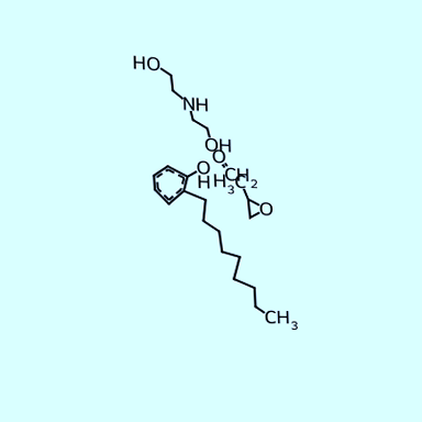 C=O.CC1CO1.CCCCCCCCCc1ccccc1O.OCCNCCO